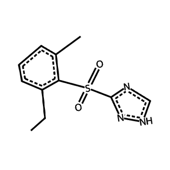 CCc1cccc(C)c1S(=O)(=O)c1nc[nH]n1